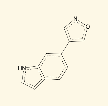 c1cc2ccc(-c3cnoc3)cc2[nH]1